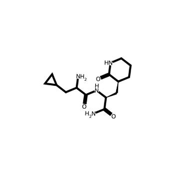 NC(=O)[C@H](C[C@@H]1CCCNC1=O)NC(=O)C(N)CC1CC1